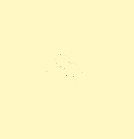 COc1cccc2nc(CI)n(C)c(=O)c12